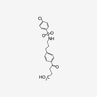 O=C(O)CCC(=O)c1ccc(CCCNS(=O)(=O)c2ccc(Cl)cc2)cc1